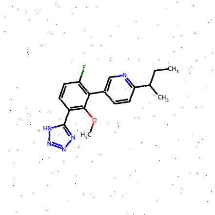 CCC(C)c1ccc(-c2c(F)ccc(-c3nnn[nH]3)c2OC)cn1